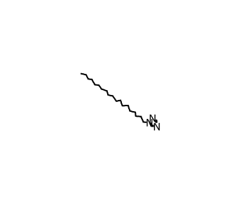 CCCCCCCCCCCCCCCCCCCn1cncn1